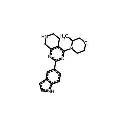 CC1COCCN1c1nc(-c2ccc3[nH]ccc3c2)nc2c1CCNC2